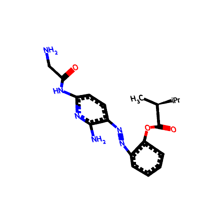 CC(C)[C@H](C)C(=O)Oc1ccccc1/N=N/c1ccc(NC(=O)CN)nc1N